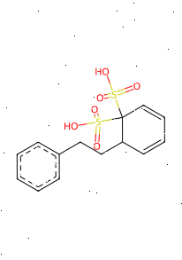 O=S(=O)(O)C1(S(=O)(=O)O)C=CC=CC1CCc1ccccc1